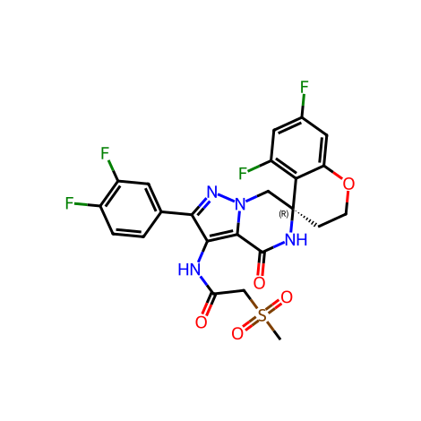 CS(=O)(=O)CC(=O)Nc1c(-c2ccc(F)c(F)c2)nn2c1C(=O)N[C@@]1(CCOc3cc(F)cc(F)c31)C2